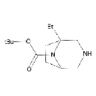 CCC12CCC(CNC1)N2C(=O)OC(C)(C)C